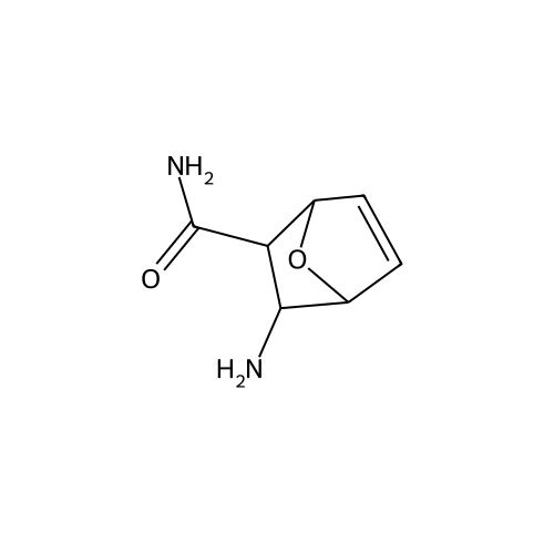 NC(=O)C1C2C=CC(O2)C1N